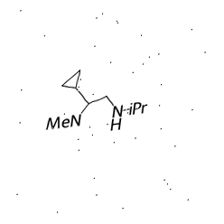 CNC(CNC(C)C)C1CC1